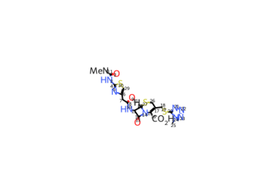 CNC(=O)Nc1nc(CC(=O)NC2C(=O)N3C(C(=O)O)=C(CSc4nnnn4C)CS[C@H]23)cs1